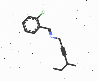 CCC(C)C#CCN=Cc1ccccc1Cl